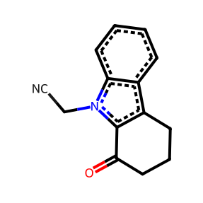 N#CCn1c2c(c3ccccc31)CCCC2=O